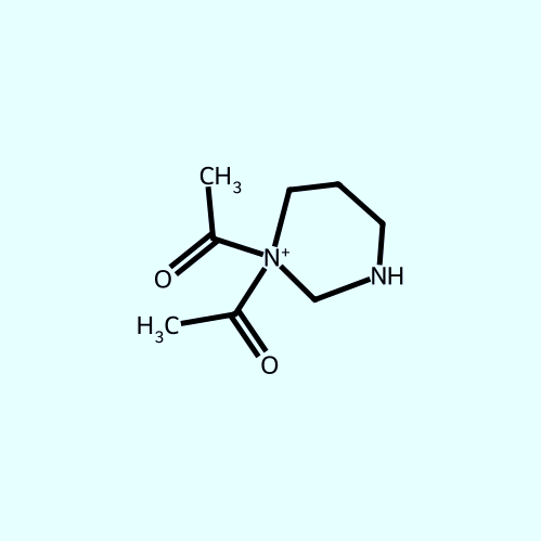 CC(=O)[N+]1(C(C)=O)CCCNC1